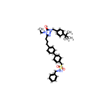 CCn1c(CCCc2ccc(-c3ccc(CS(=O)(=O)NCc4ccccc4)cc3)cc2)nn(Cc2ccc(C(C)(C)C)cc2)c1=O